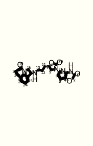 O=C1COc2ccc(N3C[C@@H](CCCN[C@@H]4Cn5c(=O)ccc6cccc4c65)OC3=O)nc2N1